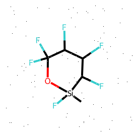 C[Si]1(F)OC(F)(F)C(F)C(F)C1F